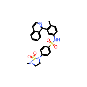 Cc1ccc(NS(=O)(=O)c2ccc(N3CCN(C)S3(=O)=O)cc2)cc1-c1nccc2ccccc12